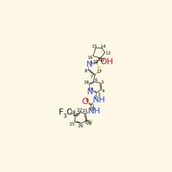 O=C(Nc1ccc(-c2cnc(C3(O)CCCC3)s2)cn1)Nc1cc(C(F)(F)F)ccc1F